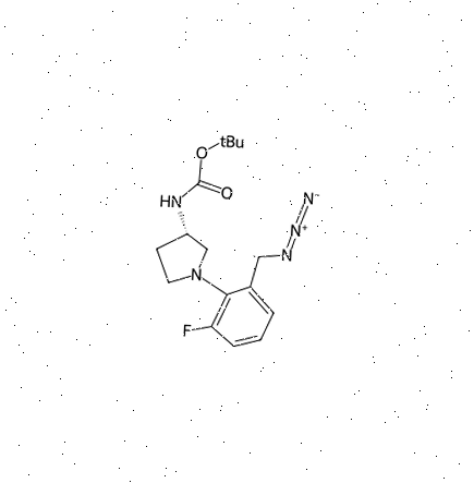 CC(C)(C)OC(=O)N[C@H]1CCN(c2c(F)cccc2[CH]N=[N+]=[N-])C1